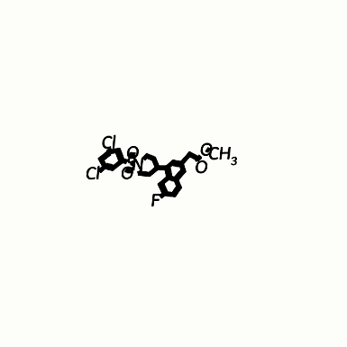 COC(=O)Cc1cc(C2CCN(S(=O)(=O)c3cc(Cl)cc(Cl)c3)CC2)c2cc(F)ccc2c1